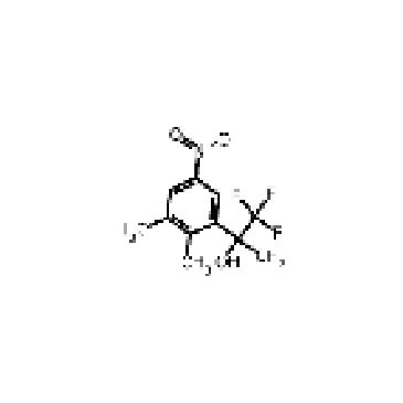 Cc1cc([N+](=O)[O-])cc(C(C)(O)C(F)(F)F)c1C